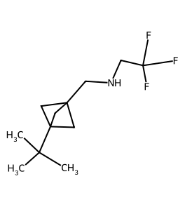 CC(C)(C)C12CC(CNCC(F)(F)F)(C1)C2